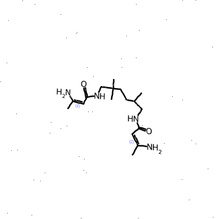 C/C(N)=C/C(=O)NCC(C)CCC(C)(C)CNC(=O)/C=C(/C)N